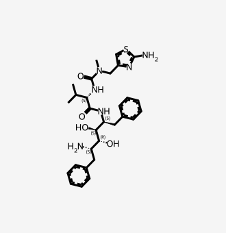 CC(C)[C@H](NC(=O)N(C)Cc1csc(N)n1)C(=O)N[C@@H](Cc1ccccc1)[C@H](O)[C@H](O)[C@@H](N)Cc1ccccc1